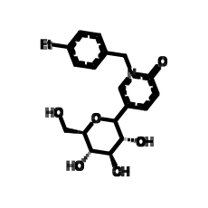 CCc1ccc(Cn2cc(C3O[C@H](CO)[C@@H](O)[C@H](O)[C@H]3O)ccc2=O)cc1